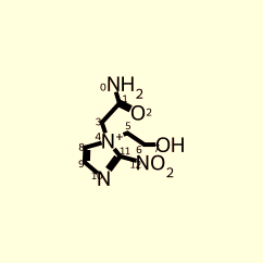 NC(=O)C[N+]1(CCO)C=CN=C1[N+](=O)[O-]